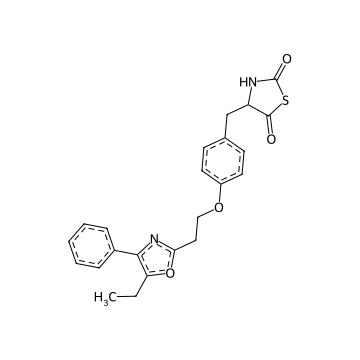 CCc1oc(CCOc2ccc(CC3NC(=O)SC3=O)cc2)nc1-c1ccccc1